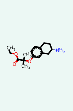 CCOC(=O)C(C)(C)Oc1ccc2c(c1)C[C@@H](N)CC2